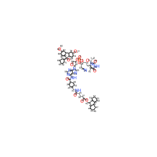 CC[C@@H](O[C@@H](C)COP(=O)(OCCC#N)OC1C[C@H](n2cnc3c(NC(=O)c4ccc(CNC(=O)CCCC(=O)OCC5c6ccccc6-c6ccccc65)cc4)ncnc32)O[C@@H]1COC(c1ccccc1)(c1ccc(OC)cc1)c1ccc(OC)cc1)n1cc(C)c(=O)[nH]c1=O